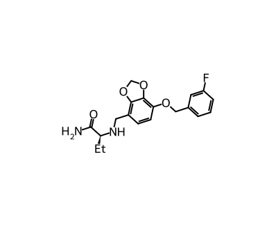 CC[C@H](NCc1ccc(OCc2cccc(F)c2)c2c1OCO2)C(N)=O